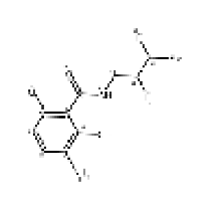 Nc1ccc(Cl)c(C(=O)NCC(F)C(F)F)c1Cl